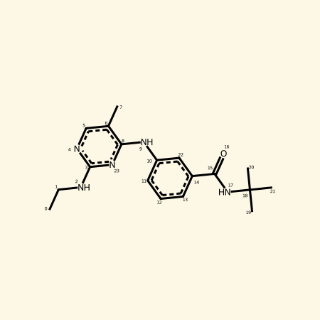 CCNc1ncc(C)c(Nc2cccc(C(=O)NC(C)(C)C)c2)n1